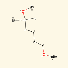 [CH2]CC(C)(CCCCOCCCC)OC(C)C